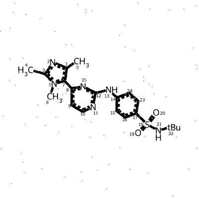 Cc1nc(C)n(C)c1-c1ccnc(Nc2ccc(S(=O)(=O)NC(C)(C)C)cc2)n1